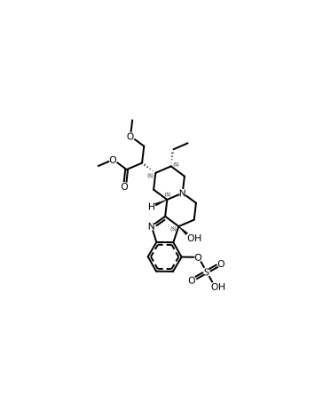 CC[C@@H]1CN2CC[C@@]3(O)C(=Nc4cccc(OS(=O)(=O)O)c43)[C@@H]2C[C@@H]1C(COC)C(=O)OC